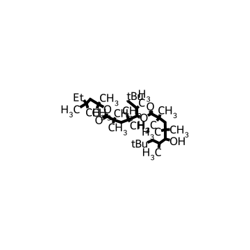 CCC(C)(C)CC(C)(C)OC(=O)C(C)(C)CC(C)(C)C(OC(=O)C(C)(C)CC(C)(C)C(O)C(C)CC(C)(C)C)C(C)CC(C)(C)C